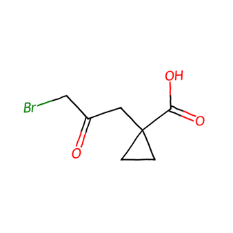 O=C(CBr)CC1(C(=O)O)CC1